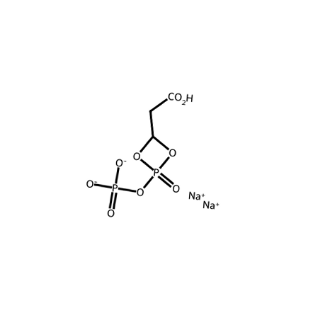 O=C(O)CC1OP(=O)(OP(=O)([O-])[O-])O1.[Na+].[Na+]